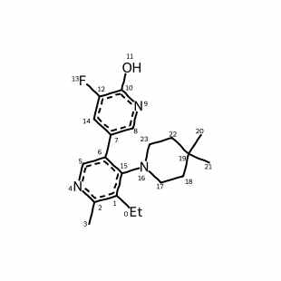 CCc1c(C)ncc(-c2cnc(O)c(F)c2)c1N1CCC(C)(C)CC1